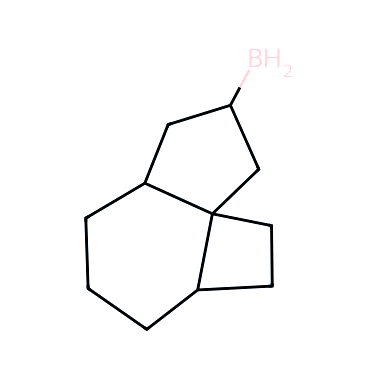 BC1CC2CCCC3CCC32C1